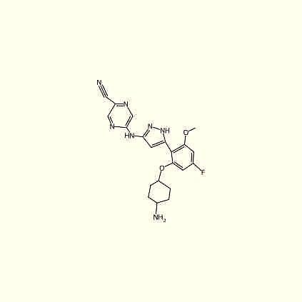 COc1cc(F)cc(OC2CCC(N)CC2)c1-c1cc(Nc2cnc(C#N)cn2)n[nH]1